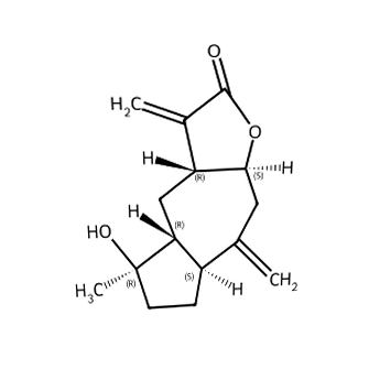 C=C1C(=O)O[C@H]2CC(=C)[C@H]3CC[C@@](C)(O)[C@@H]3C[C@H]12